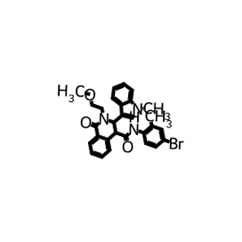 COCCN1C(=O)c2ccccc2C(C(=O)Nc2ccc(Br)cc2C)C1c1cn(C)c2ccccc12